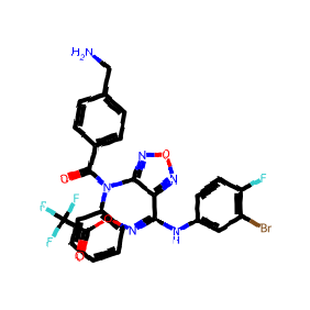 NCc1ccc(C(=O)N(c2ccccc2)c2nonc2/C(=N\OC(=O)C(F)(F)F)Nc2ccc(F)c(Br)c2)cc1